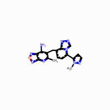 Cc1nc2nonc2c(N)c1Cc1ccc(-c2ccnn2C)n2cnnc12